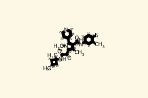 Cc1cc(NC(=O)c2c(C)c(C(=O)C(=O)NC3(C)CC(O)C3)n(C)c2-c2ccncc2)ccc1F